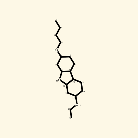 CCCCOC1CCC2C(C1)OC1CC(OCC)CCC12